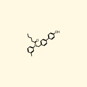 CCCCC(=O)N(Cc1ccc(-c2ccc(O)cc2)cc1)c1cccc(C)c1